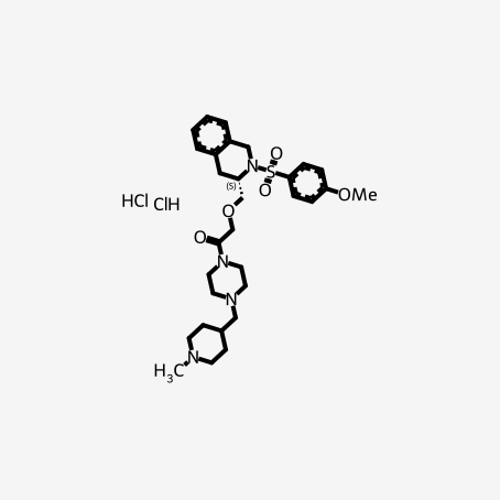 COc1ccc(S(=O)(=O)N2Cc3ccccc3C[C@H]2COCC(=O)N2CCN(CC3CCN(C)CC3)CC2)cc1.Cl.Cl